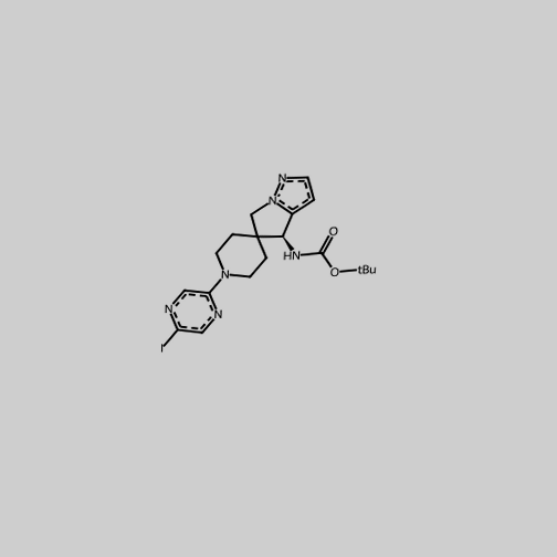 CC(C)(C)OC(=O)N[C@@H]1c2ccnn2CC12CCN(c1cnc(I)cn1)CC2